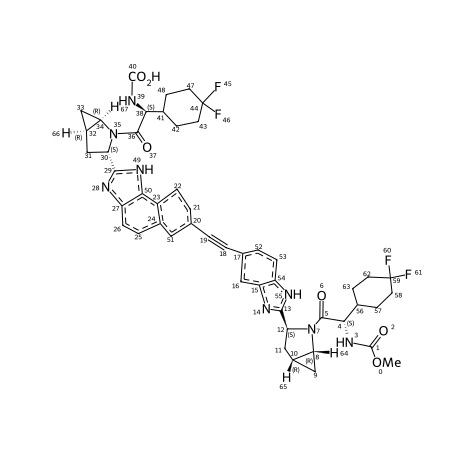 COC(=O)N[C@H](C(=O)N1[C@@H]2C[C@@H]2C[C@H]1c1nc2cc(C#Cc3ccc4c(ccc5nc([C@@H]6C[C@H]7C[C@H]7N6C(=O)[C@@H](NC(=O)O)C6CCC(F)(F)CC6)[nH]c54)c3)ccc2[nH]1)C1CCC(F)(F)CC1